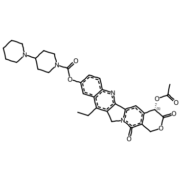 CCc1c2c(nc3ccc(OC(=O)N4CCC(N5CCCCC5)CC4)cc13)-c1cc3c(c(=O)n1C2)COC(=O)[C@H]3OC(C)=O